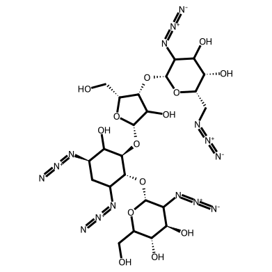 [N-]=[N+]=NC[C@@H]1O[C@H](O[C@@H]2C(O)[C@H](O[C@@H]3C(O)[C@H](N=[N+]=[N-])CC(N=[N+]=[N-])[C@H]3O[C@H]3OC(CO)[C@@H](O)[C@H](O)C3N=[N+]=[N-])O[C@@H]2CO)C(N=[N+]=[N-])C(O)[C@@H]1O